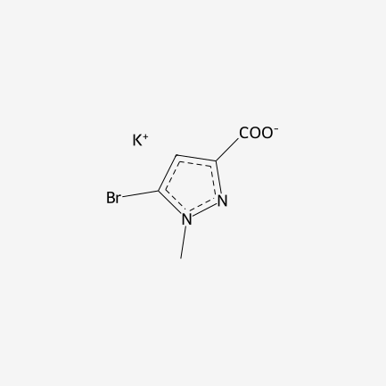 Cn1nc(C(=O)[O-])cc1Br.[K+]